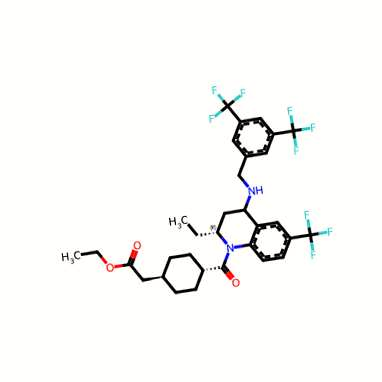 CCOC(=O)C[C@H]1CC[C@H](C(=O)N2c3ccc(C(F)(F)F)cc3C(NCc3cc(C(F)(F)F)cc(C(F)(F)F)c3)C[C@H]2CC)CC1